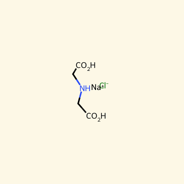 O=C(O)CNCC(=O)O.[Cl-].[Na+]